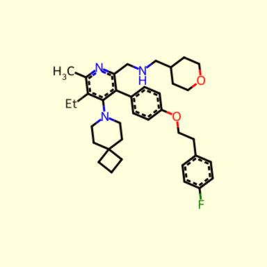 CCc1c(C)nc(CNCC2CCOCC2)c(-c2ccc(OCCc3ccc(F)cc3)cc2)c1N1CCC2(CCC2)CC1